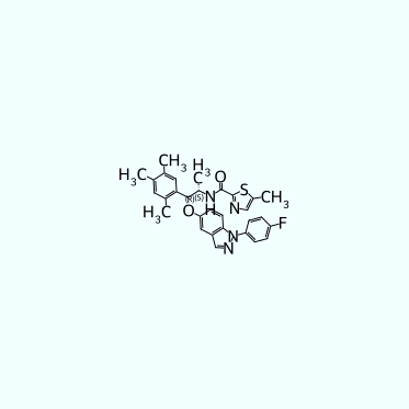 Cc1cnc(C(=O)N[C@@H](C)[C@H](Oc2ccc3c(cnn3-c3ccc(F)cc3)c2)c2cc(C)c(C)cc2C)s1